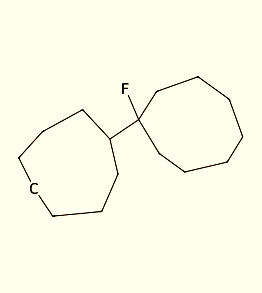 FC1(C2CCCCCCC2)CCCCCCC1